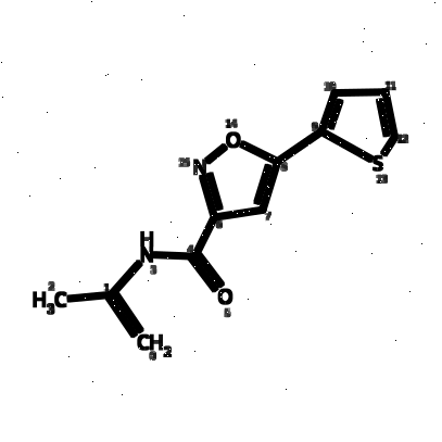 C=C(C)NC(=O)c1cc(-c2cccs2)on1